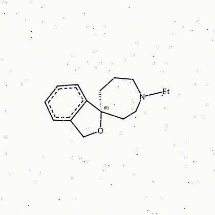 CCN1CCC[C@]2(CC1)OCc1ccccc12